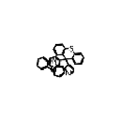 c1ccc2c(c1)Sc1cccc(-n3c4ccccc4c4ccccc43)c1C21c2cccnc2-c2ncccc21